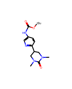 CN1CC(c2ccc(NC(=O)OC(C)(C)C)cn2)CN(C)C1=O